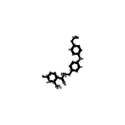 CCC(C)Cc1ccc(Oc2ccc(CNC(=O)c3ccc(C)nc3N)cc2)cc1